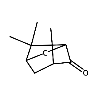 CC1(C)C2CC3C(=O)C(C2)C31C